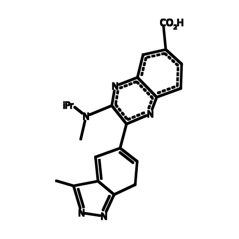 CC1=NN=C2CC=C(c3nc4ccc(C(=O)O)cc4nc3N(C)C(C)C)C=C12